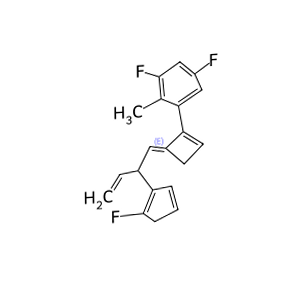 C=CC(/C=C1\CC=C1c1cc(F)cc(F)c1C)C1=C(F)CC=C1